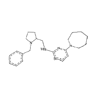 c1ccc(CN2CCCC2CNc2nccc(N3CCCCCC3)n2)cc1